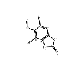 COc1c(F)cc2oc(=O)[nH]c2c1F